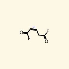 O=C(F)/C=C\CC(=O)F